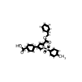 Cc1ccc(S(=O)(=O)n2cc(-c3ccc(C(=O)O)cc3)cc2C(=O)OCc2ccccc2)cc1